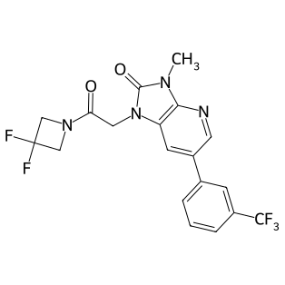 Cn1c(=O)n(CC(=O)N2CC(F)(F)C2)c2cc(-c3cccc(C(F)(F)F)c3)cnc21